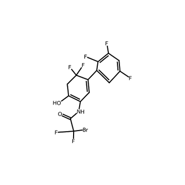 O=C(NC1=C(O)CC(F)(F)C(c2cc(F)cc(F)c2F)=C1)C(F)(F)Br